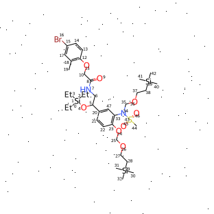 CC[Si](CC)(CC)OC(CNC(=O)COc1ccc(Br)cc1C)c1ccc(OCOCC[Si](C)(C)C)c(N(COCC[Si](C)(C)C)S(C)(=O)=O)c1